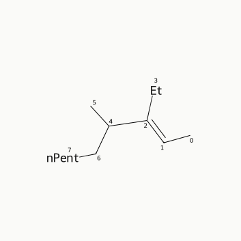 C/C=C(\CC)C(C)CCCCCC